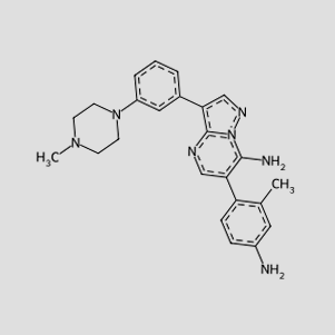 Cc1cc(N)ccc1-c1cnc2c(-c3cccc(N4CCN(C)CC4)c3)cnn2c1N